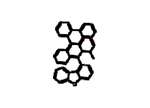 CC1C=CC=C2C(c3ccccc3-c3ccccc3)=c3ccccc3=C(c3cccc4oc5ccccc5c34)C21